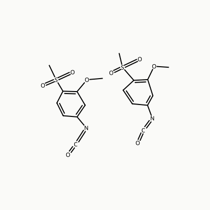 COc1cc(N=C=O)ccc1S(C)(=O)=O.COc1cc(N=C=O)ccc1S(C)(=O)=O